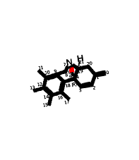 C=C1C=C[C@]23CCN(Cc4c(C)c(C)c(C)c(C)c42)[C@H]3C1